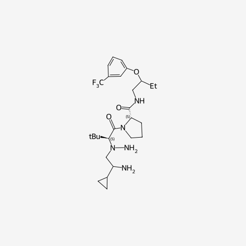 CCC(CNC(=O)[C@@H]1CCCN1C(=O)[C@@H](N(N)CC(N)C1CC1)C(C)(C)C)Oc1cccc(C(F)(F)F)c1